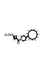 CC(=O)NC12CC(C(=O)N3CCC(C4CCCCCCCCCC4)CC3)(C1)C2